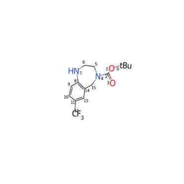 CC(C)(C)OC(=O)N1CCNc2ccc(C(F)(F)F)cc2C1